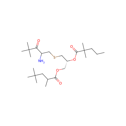 CCCC(C)(C)C(=O)O[C@H](COC(=O)C(C)CC(C)(C)C)CSCC(N)C(=O)C(C)(C)C